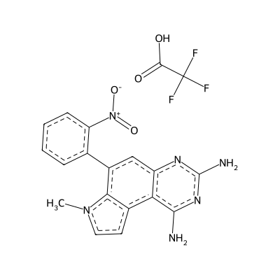 Cn1ccc2c3c(N)nc(N)nc3cc(-c3ccccc3[N+](=O)[O-])c21.O=C(O)C(F)(F)F